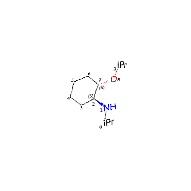 CC(C)N[C@H]1CCCC[C@@H]1OC(C)C